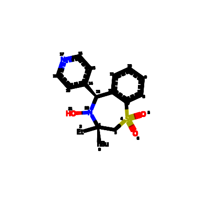 CCCC[C@]1(CC)CS(=O)(=O)c2ccccc2[C@H](c2ccncc2)N1O